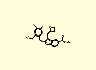 COC(=O)c1ccc2nc(Cc3cc(F)c(Br)cc3CO)n(CC3CCO3)c2c1